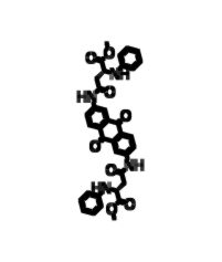 COC(=O)[C@H](CC(=O)Nc1ccc2c(c1)C(=O)c1ccc(NC(=O)C[C@H](Nc3ccccc3)C(=O)OC)cc1C2=O)Nc1ccccc1